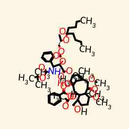 CCCCC1(CCCC)OC[C@@H](COC(=O)O[C@@H](C(=O)O[C@H]2C[C@@]3(O)[C@@H](OC(=O)c4ccccc4)[C@@H]4[C@]5(OC(C)=O)CO[C@@H]5C[C@H](OC)[C@@]4(C)C(=O)[C@H](OC)C(=C2C)C3(C)C)[C@@H](NC(=O)OC(C)(C)C)c2ccccc2)O1